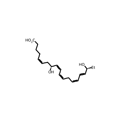 CC[C@H](O)/C=C/C=C\C/C=C\C=C/[C@@H](O)C/C=C\CCCC(=O)O